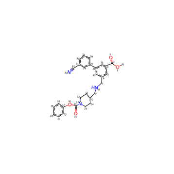 COC(=O)c1cc(CNCC2CCN(C(=O)Oc3ccccc3)CC2)cc(-c2cccc(C#N)c2)c1